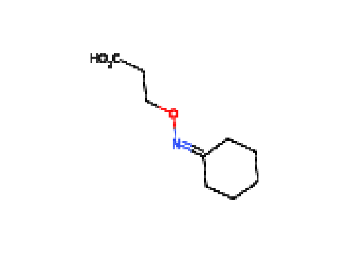 O=C(O)CCON=C1CCCCC1